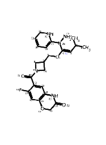 CC(C)/C=C(/OCC1CN(C(=O)c2cc3c(cc2F)OCC(=O)N3)C1)N(N)C1=CC=CCN1